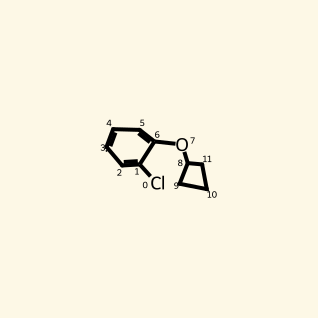 Clc1c[c]ccc1OC1CCC1